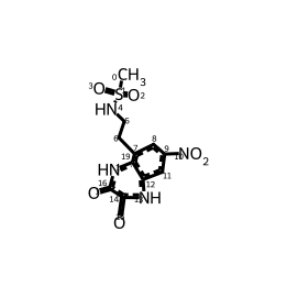 CS(=O)(=O)NCCc1cc([N+](=O)[O-])cc2[nH]c(=O)c(=O)[nH]c12